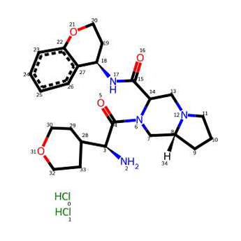 Cl.Cl.N[C@H](C(=O)N1C[C@H]2CCCN2CC1C(=O)N[C@@H]1CCOc2ccccc21)C1CCOCC1